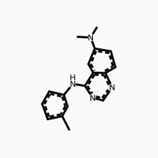 Cc1cccc(Nc2ncnc3ccc(N(C)C)cc23)c1